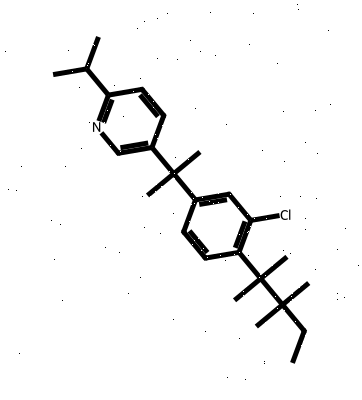 CCC(C)(C)C(C)(C)c1ccc(C(C)(C)c2ccc(C(C)C)nc2)cc1Cl